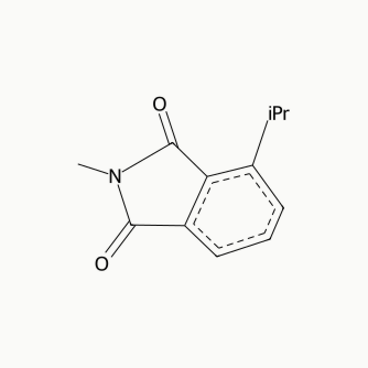 CC(C)c1cccc2c1C(=O)N(C)C2=O